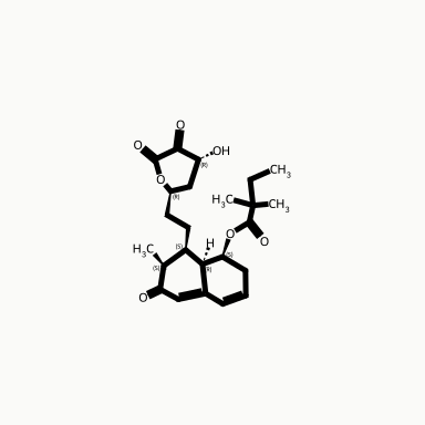 CCC(C)(C)C(=O)O[C@H]1CC=CC2=CC(=O)[C@@H](C)[C@@H](CC[C@@H]3C[C@@H](O)C(=O)C(=O)O3)[C@H]21